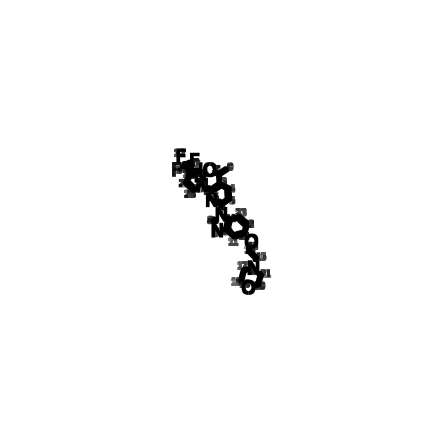 CC(O)c1ccc(-n2cnc3cc(OCCN4CCOCC4)ccc32)nc1-n1ccc(C(F)(F)F)n1